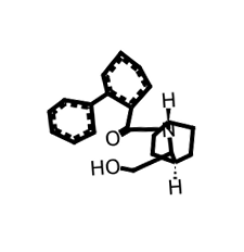 O=C(c1ccccc1-c1ccccc1)N1C(CO)[C@H]2CC[C@H]1CC2